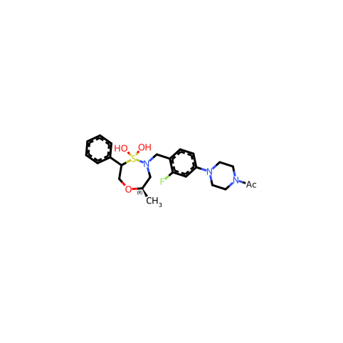 CC(=O)N1CCN(c2ccc(CN3C[C@@H](C)OCC(c4ccccc4)S3(O)O)c(F)c2)CC1